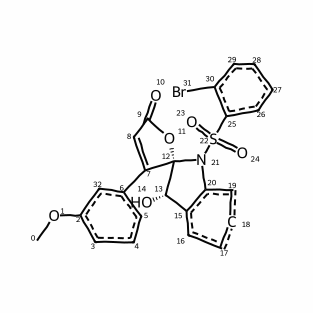 COc1cccc(C2=CC(=O)O[C@]23[C@@H](O)c2ccccc2N3S(=O)(=O)c2ccccc2Br)c1